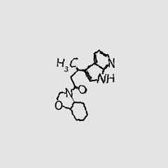 CC(CC(=O)N1CCOC2CCCCC21)c1c[nH]c2ncccc12